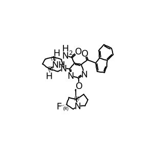 NC(=O)c1c(C(=O)c2cccc3ccccc23)nc(OC[C@@]23CCCN2C[C@H](F)C3)nc1N1C[C@H]2CC[C@@H](C1)N2